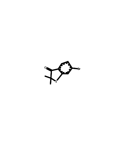 CC1(C)Sc2cc(Br)ccc2C1=O